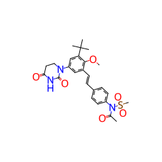 COc1c(/C=C/c2ccc(N(C(C)=O)S(C)(=O)=O)cc2)cc(N2CCC(=O)NC2=O)cc1C(C)(C)C